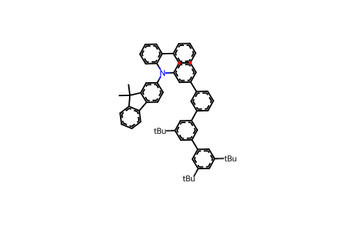 CC(C)(C)c1cc(-c2cccc(-c3cccc(N(c4ccc5c(c4)C(C)(C)c4ccccc4-5)c4ccccc4-c4ccccc4)c3)c2)cc(-c2cc(C(C)(C)C)cc(C(C)(C)C)c2)c1